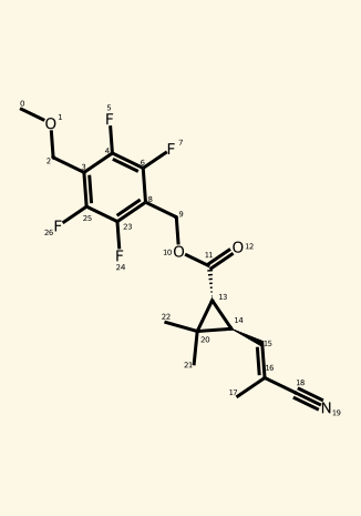 COCc1c(F)c(F)c(COC(=O)[C@@H]2[C@@H](/C=C(\C)C#N)C2(C)C)c(F)c1F